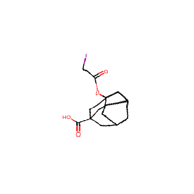 O=C(CI)OC12CC3CC(C1)CC(C(=O)O)(C3)C2